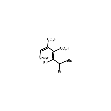 CCCCCC=C(C(=O)O)C(C(=O)O)=C(CC)C(CC)CCCC